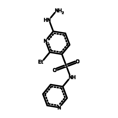 CCc1nc(NN)ccc1S(=O)(=O)Nc1cccnc1